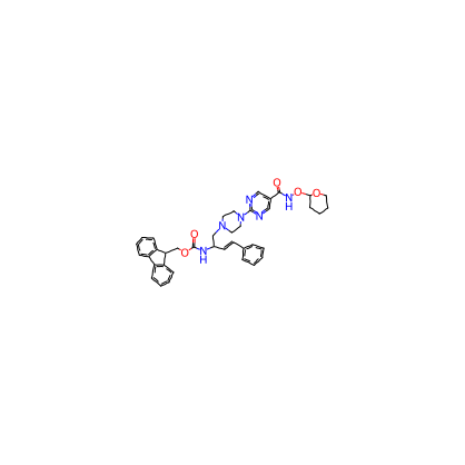 O=C(NC(/C=C/c1ccccc1)CN1CCN(c2ncc(C(=O)NOC3CCCCO3)cn2)CC1)OCC1c2ccccc2-c2ccccc21